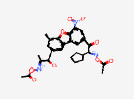 CC(=O)O/N=C(\C)C(=O)c1cc(C)c2oc3c([N+](=O)[O-])cc(C(=O)/C(=N/OC(C)=O)C4CCCC4)cc3c2c1